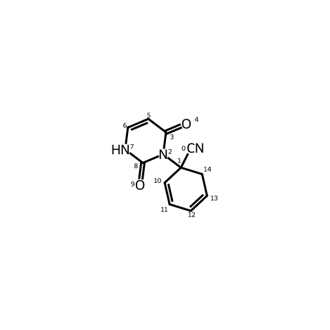 N#CC1(n2c(=O)cc[nH]c2=O)C=CC=CC1